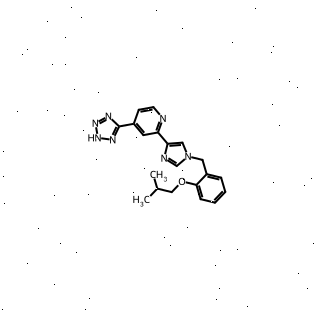 CC(C)COc1ccccc1Cn1cnc(-c2cc(-c3nn[nH]n3)ccn2)c1